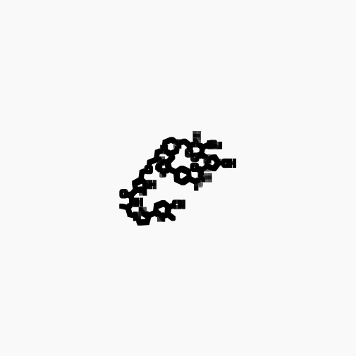 Cc1nc(-c2ccn(CC(C)NC(=O)c3cc(COCCCN4CCN(CC(=O)NC(C(=O)N5C[C@H](O)C[C@H]5C(=O)N[C@@H](C)c5ccc(-c6scnc6C)cc5)C(C)(C)C)CC4)[nH]n3)n2)ccc1C#N